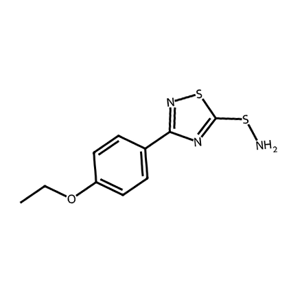 CCOc1ccc(-c2nsc(SN)n2)cc1